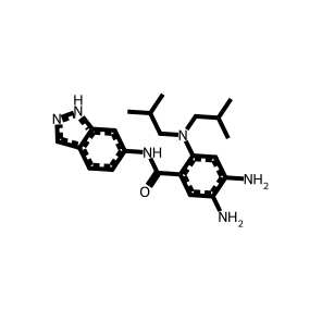 CC(C)CN(CC(C)C)c1cc(N)c(N)cc1C(=O)Nc1ccc2cn[nH]c2c1